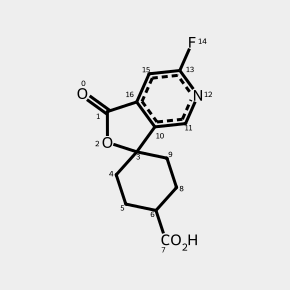 O=C1OC2(CCC(C(=O)O)CC2)c2cnc(F)cc21